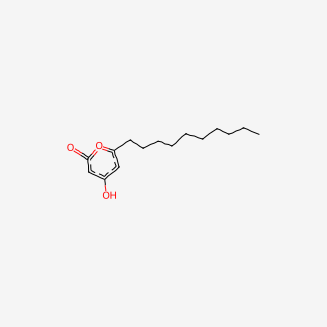 CCCCCCCCCCc1cc(O)cc(=O)o1